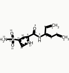 C=C/C=C(\C=C)NC(=O)c1cc(S(N)(=O)=O)c[nH]1